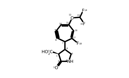 O=C(O)[C@@H]1C(=O)NCC1C1C#CC=C(OC(F)F)C=C1F